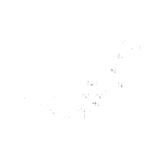 CCOC(=O)Nc1ccc(Nc2nc(N)n(-c3ccnc(N4CCCN(C(C)=O)CC4)c3)n2)cc1